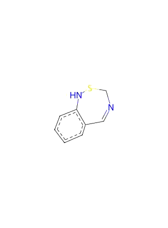 C1=NCSNc2ccccc21